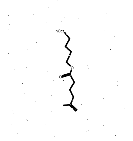 C=C(C)CCCC(=O)OCCCCCCCCCCCC